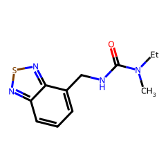 CCN(C)C(=O)NCc1cccc2nsnc12